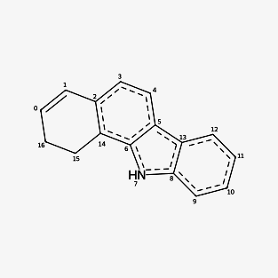 C1=Cc2ccc3c([nH]c4ccccc43)c2CC1